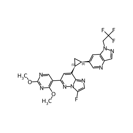 COc1ncc(-c2cc([C@H]3C[C@H]3c3cnc4cnn(CC(F)(F)F)c4c3)c3ncc(F)n3n2)c(OC)n1